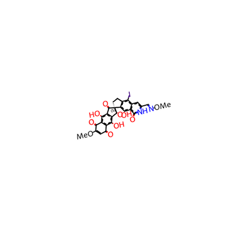 CON=Cc1cc2c(I)c3c(c(O)c2c(=O)[nH]1)[C@@]1(CC3)C(=O)c2c(O)c3c(c(O)c2C1=O)C(=O)C(OC)=CC3=O